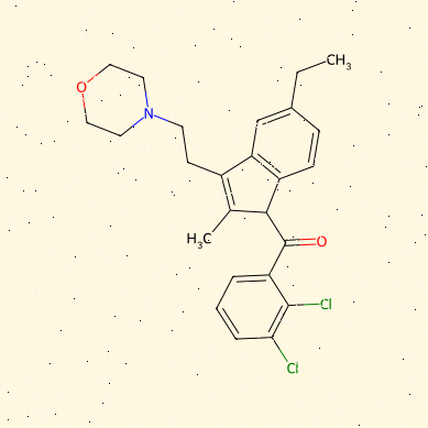 CCc1ccc2c(c1)C(CCN1CCOCC1)=C(C)C2C(=O)c1cccc(Cl)c1Cl